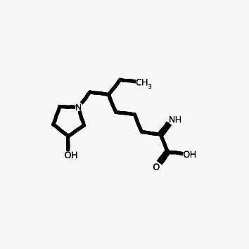 CCC(CCCC(=N)C(=O)O)CN1CCC(O)C1